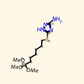 CO[Si](CCCCCCSc1nc(N)n[nH]1)(OC)OC